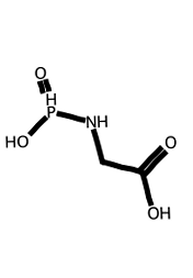 O=C(O)CN[PH](=O)O